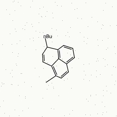 CCCCC1C=Cc2c(C)ccc3cccc1c23